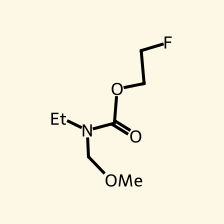 CCN(COC)C(=O)OCCF